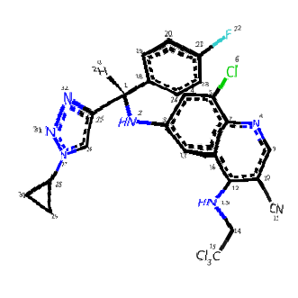 [2H][C@](Nc1cc(Cl)c2ncc(C#N)c(NCC(Cl)(Cl)Cl)c2c1)(c1ccc(F)cc1)c1cn(C2CC2)nn1